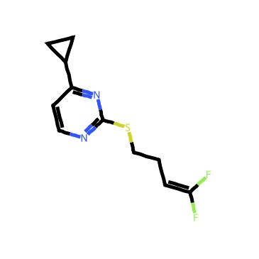 FC(F)=CCCSc1nccc(C2CC2)n1